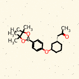 CC(=O)C[C@@H]1CCC[C@@H](Oc2ccc(B3OC(C)(C)C(C)(C)O3)cc2)C1